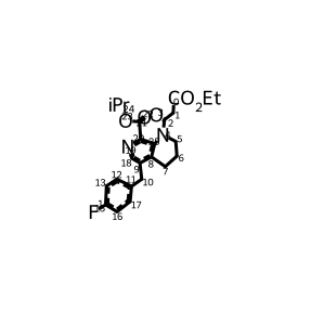 CCOC(=O)CC(=O)N1CCCc2c(Cc3ccc(F)cc3)cnc(C(=O)OC(C)C)c21